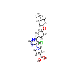 CC(C)(C)[C@H]1CC[C@H](Oc2ccc(-c3ncnc(N4CCC(C(=O)O)CC4)c3Cl)cc2)CC1